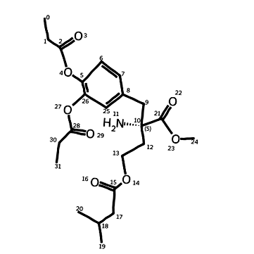 CCC(=O)Oc1ccc(C[C@](N)(CCOC(=O)CC(C)C)C(=O)OC)cc1OC(=O)CC